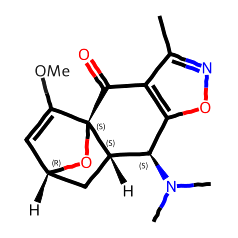 COC1=C[C@H]2C[C@H]3[C@H](N(C)C)c4onc(C)c4C(=O)[C@@]13O2